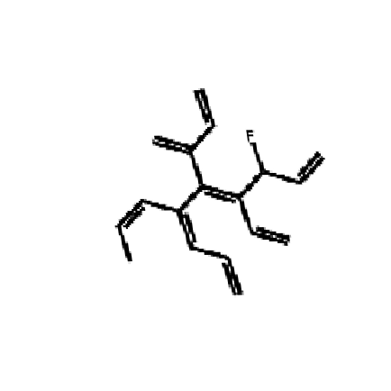 C=C/C=C(/C=C\C)C(\C(=C)C=C)=C(/C=C)C(F)C=C